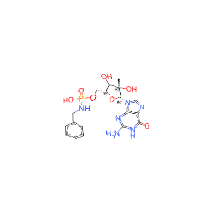 C[C@]1(O)C(O)[C@@H](COP(=O)(O)NCc2ccccc2)O[C@H]1n1cnc2c(=O)[nH]c(N)nc21